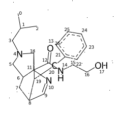 CC(C)CN1CC2CC3C=NC2(C(=O)NCCO)C1C3Cc1ccccc1